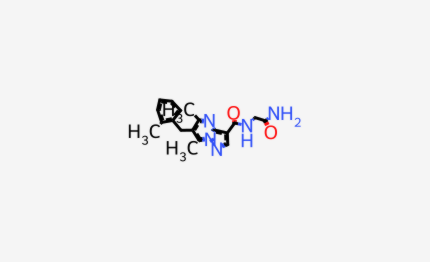 Cc1ccccc1Cc1c(C)nc2c(C(=O)NCC(N)=O)cnn2c1C